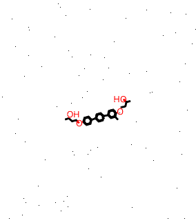 Cc1cc(-c2ccc(-c3ccc(OCCC(C)O)cc3)cc2)ccc1OCCC(C)O